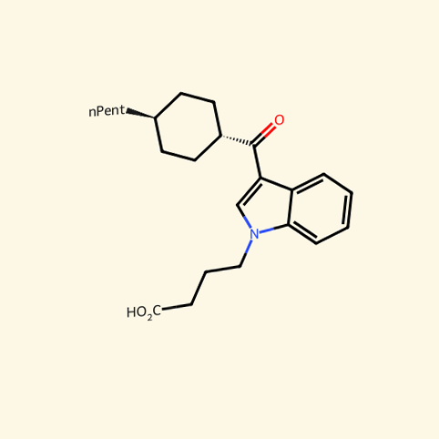 CCCCC[C@H]1CC[C@H](C(=O)c2cn(CCCC(=O)O)c3ccccc23)CC1